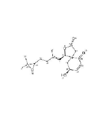 C/C(=C\[C@H]1OC(=O)CC12C[C@H](O)C=CC2=O)CCC1OC1(C)C